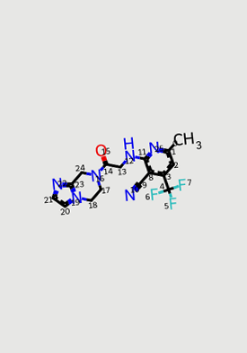 Cc1cc(C(F)(F)F)c(C#N)c(NCC(=O)N2CCn3ccnc3C2)n1